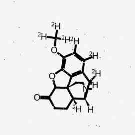 [2H]c1c([2H])c2c3c(c1OC([2H])([2H])[2H])OC1C(=O)CC[C@@]4([2H])[C@H](N(C)CC[C@]314)C2([2H])[2H]